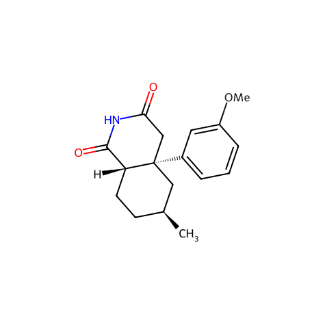 COc1cccc([C@@]23CC(=O)NC(=O)[C@H]2CC[C@H](C)C3)c1